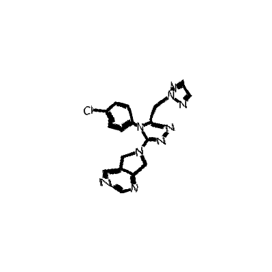 Clc1ccc(-n2c(Cn3nccn3)nnc2N2Cc3cncnc3C2)cc1